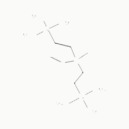 CO[Si](CCS(S)(CC[Si](OC)(OC)OC)SS)(OC)OC